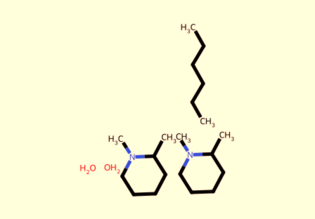 CC1CCCCN1C.CC1CCCCN1C.CCCCCC.O.O